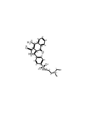 CCN(C)CCNS(=O)(=O)c1ccc(C2=C3C(=O)c4ccccc4C(N)=C3C(=O)N2)cc1